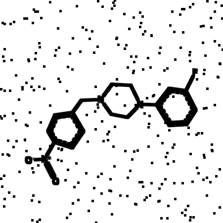 O=[N+]([O-])c1ccc(CN2CCN(c3cccc(F)c3)CC2)cc1